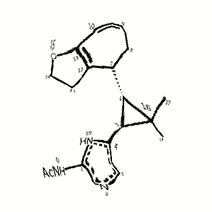 CC(=O)Nc1ncc([C@H]2[C@H](C3CC=CC4=C3CCO4)C2(C)C)[nH]1